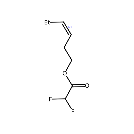 CC/C=C\CCOC(=O)C(F)F